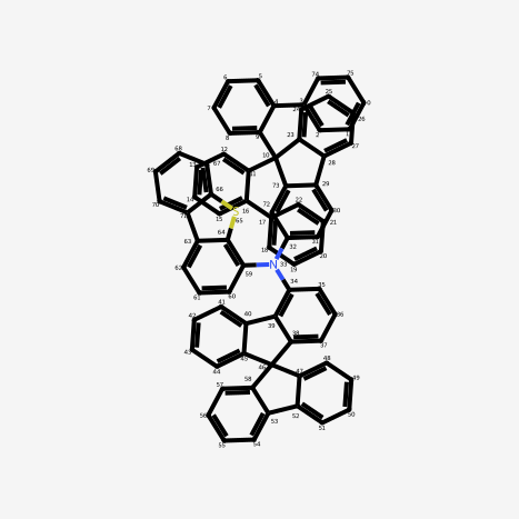 c1ccc(-c2ccccc2C2(c3ccccc3-c3ccccc3)c3ccccc3-c3ccc(N(c4cccc5c4-c4ccccc4C54c5ccccc5-c5ccccc54)c4cccc5c4sc4ccccc45)cc32)cc1